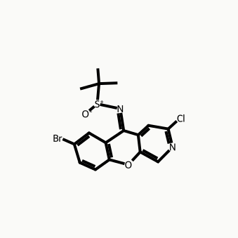 CC(C)(C)[S+]([O-])/N=c1\c2cc(Br)ccc2oc2cnc(Cl)cc12